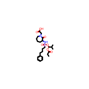 CCC(=O)O[C@@H](OP(=O)(CCCCc1ccccc1)NC1CCCCN(CC(=O)O)C1=O)C(C)C